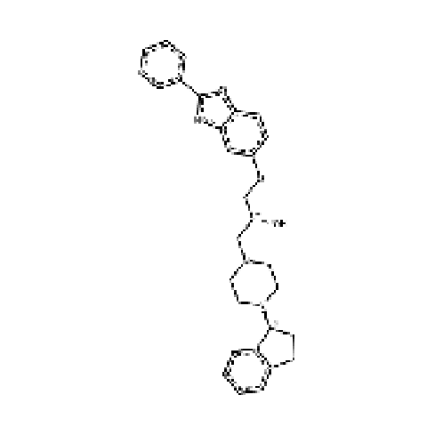 O[C@@H](COc1ccc2oc(-c3ccccc3)nc2c1)CN1C[CH]N([C@H]2CCc3ccccc32)CC1